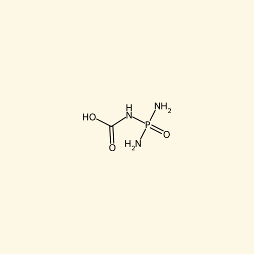 NP(N)(=O)NC(=O)O